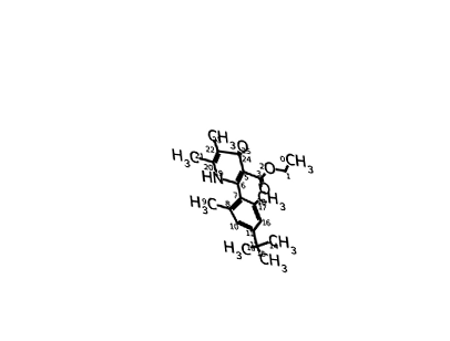 CCOC(=O)c1c(-c2c(C)cc(C(C)(C)C)cc2C)[nH]c(C)c(C)c1=O